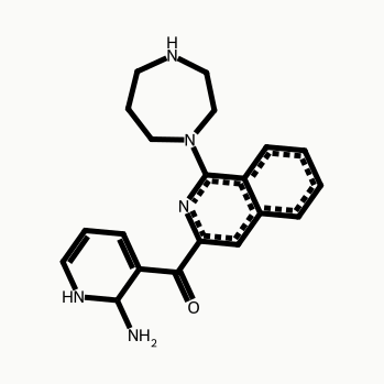 NC1NC=CC=C1C(=O)c1cc2ccccc2c(N2CCCNCC2)n1